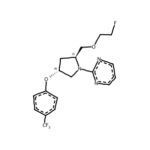 FCCOC[C@@H]1C[C@@H](Oc2ccc(C(F)(F)F)cc2)CN1c1ncccn1